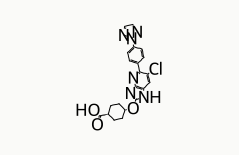 O=C(O)[C@H]1CC[C@H](Oc2nc3nc(-c4ccc(-n5nccn5)cc4)c(Cl)cc3[nH]2)CC1